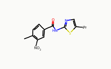 Cc1ccc(C(=O)Nc2ncc(C(C)C)s2)cc1[N+](=O)[O-]